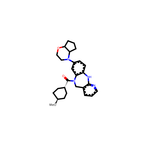 CO[C@H]1CC[C@H](C(=O)N2Cc3cccnc3Nc3ccc(N4CCOC5CCCC54)cc32)CC1